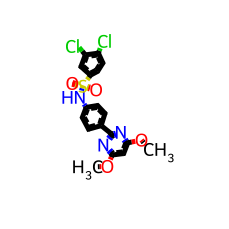 COc1cc(OC)nc(-c2ccc(NS(=O)(=O)c3ccc(Cl)c(Cl)c3)cc2)n1